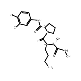 CCCC[C@@H](C(=O)N1CCC[C@H]1C(=O)Nc1ccc(Cl)c(Cl)c1)[C@H](O)C(=O)NO